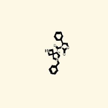 O=C1OCC(c2ccccc2)N1C(=O)[C@@H]1CN(Cc2ccccc2)CC12CNC2